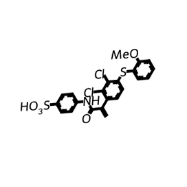 C=C(C(=O)Nc1ccc(S(=O)(=O)O)cc1)c1ccc(Sc2ccccc2OC)c(Cl)c1Cl